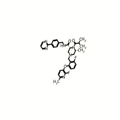 Cc1ccc(Oc2cccc(F)c2CN2C[C@@H](C)N(C(=O)C(C)C)[C@@H](C(=O)NCc3ccc(-c4ncccn4)cc3)C2)c(F)n1